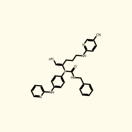 CCC/C=C(\CCCNc1ccc(C#N)cn1)N(C(=O)NCc1ccccc1)c1ccc(Nc2ccccn2)cc1